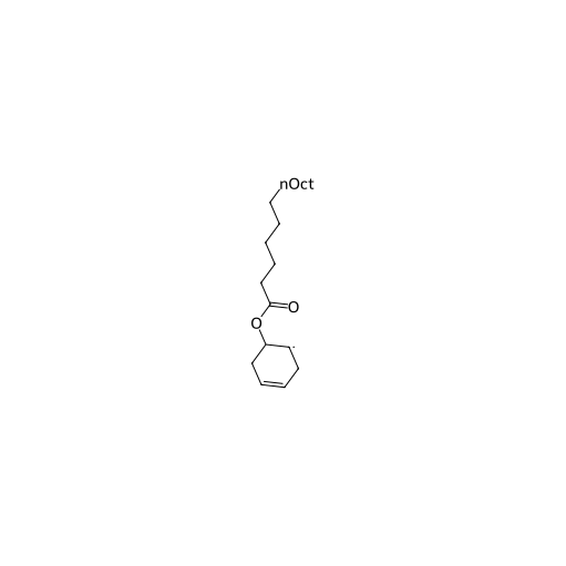 CCCCCCCCCCCCCC(=O)OC1[CH]CC=CC1